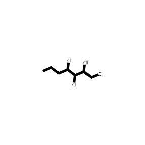 CCCC(Cl)C(Cl)C(Cl)CCl